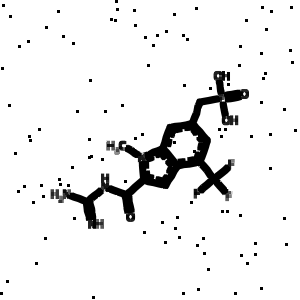 Cn1c(C(=O)NC(=N)N)cc2c(C(F)(F)F)cc(CP(=O)(O)O)cc21